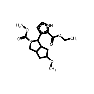 CCOC(=O)c1[nH]ccc1C1C2CC(OC)CC2CN1C(=O)ON